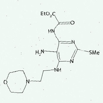 CCOC(=O)C(=O)Nc1nc(SC)nc(NCCN2CCOCC2)c1N